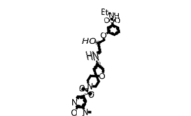 CCNS(=O)(=O)c1cccc(OC[C@@H](O)CN[C@H]2COC3(CCN(S(=O)(=O)c4cnc5c(c4)N(C)CCO5)CC3)C2)c1